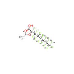 CCOC(F)(C(=O)O)C(F)(F)C(F)(F)C(F)(F)C(F)(F)C(F)(F)C(F)(F)F